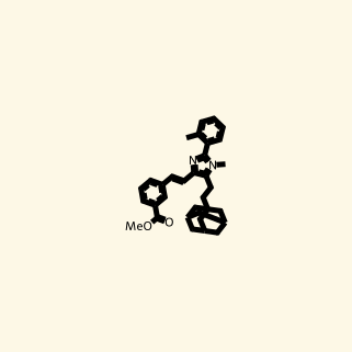 COC(=O)c1cccc(C=Cc2nc(-c3ccccc3C)n(C)c2CCC23CC4CC(CC(C4)C2)C3)c1